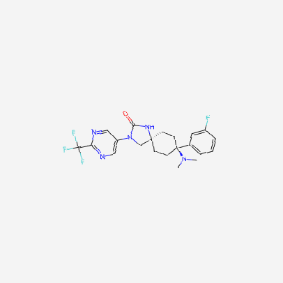 CN(C)[C@]1(c2cccc(F)c2)CC[C@]2(CC1)CN(c1cnc(C(F)(F)F)nc1)C(=O)N2